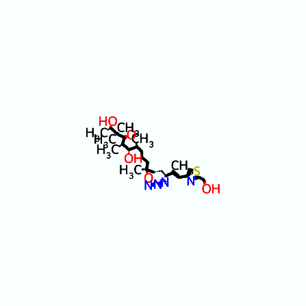 C/C(=C\c1csc(CO)n1)[C@H](C[C@@H]1O[C@]1(C)CCC[C@H](C)[C@H](O)[C@@H](C)C(=O)C(C)(C)[C@H](C)O)N=[N+]=[N-]